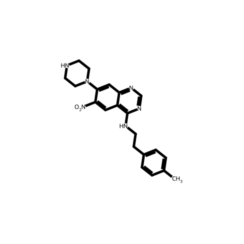 Cc1ccc(CCNc2ncnc3cc(N4CCNCC4)c([N+](=O)[O-])cc23)cc1